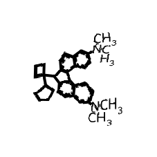 CN(C)c1ccc2c3c(ccc2c1)C(C1(C2CCCC2)CCC1)c1ccc2cc(N(C)C)ccc2c1-3